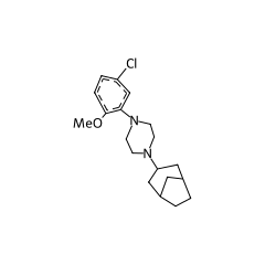 COc1ccc(Cl)cc1N1CCN(C2CC3CCC(C3)C2)CC1